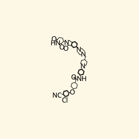 N#Cc1ccc(OC2CCC(C(=O)Nc3ccc(N4CCC(CN5CCN(c6ccc7c(c6)C(=O)N(C6CCC(=O)NC6=O)C7)CC5)CC4)cc3)CC2)cc1Cl